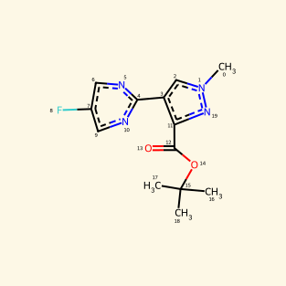 Cn1cc(-c2ncc(F)cn2)c(C(=O)OC(C)(C)C)n1